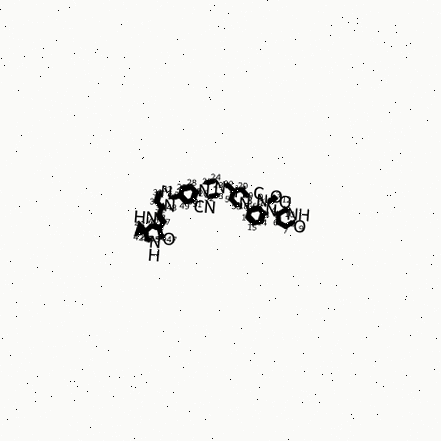 Cn1c(=O)n(C2CCC(=O)NC2=O)c2cccc(N3CCC(CN4CCN(c5ccc(-c6nccc(-c7cc8c([nH]7)C7(CC7)CNC8=O)n6)cc5C#N)CC4)CC3)c21